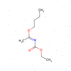 CCCCOC(C)=NC(=O)OCC